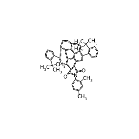 Cc1ccc(-n2c(=O)c3c4cc(-c5ccccc5C(C)(C)C)c5ccc6ccc7c(-c8ccccc8C(C)(C)C)cc(c3c2=O)c2c7c6c5c42)c(C)c1